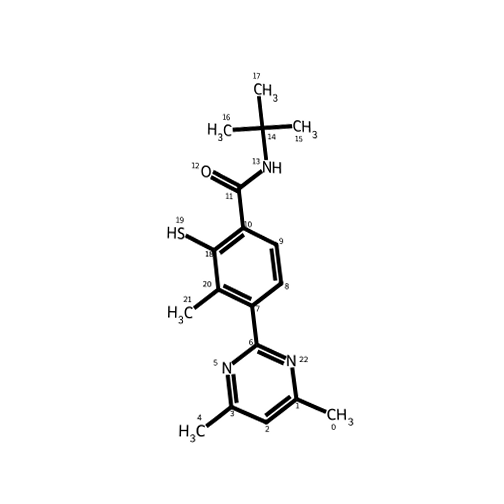 Cc1cc(C)nc(-c2ccc(C(=O)NC(C)(C)C)c(S)c2C)n1